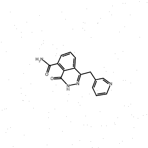 NC(=O)c1[c]ccc2c(Cc3cccnc3)n[nH]c(=O)c12